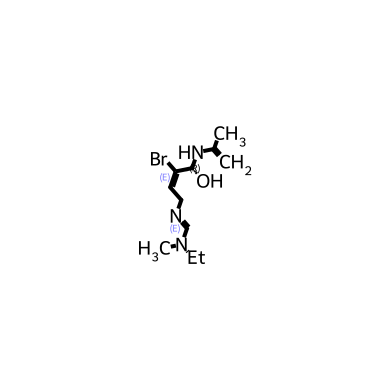 C=C(C)N[C@H](O)/C(Br)=C\C/N=C/N(C)CC